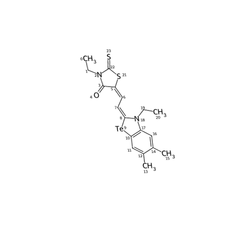 CCN1C(=O)C(=CC=C2[Te]c3cc(C)c(C)cc3N2CC)SC1=S